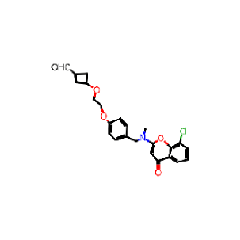 CN(Cc1ccc(OCCOC2CC(C=O)C2)cc1)c1cc(=O)c2cccc(Cl)c2o1